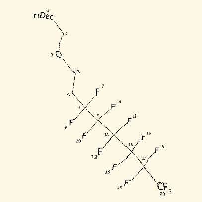 [CH2]CCCCCCCCCCOCCC(F)(F)C(F)(F)C(F)(F)C(F)(F)C(F)(F)C(F)(F)F